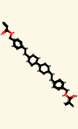 C=CC(=O)OCc1ccc(CCC2CCC(C3CCC(CCc4ccc(COC(=O)C(=C)C)cc4)CC3)CC2)cc1